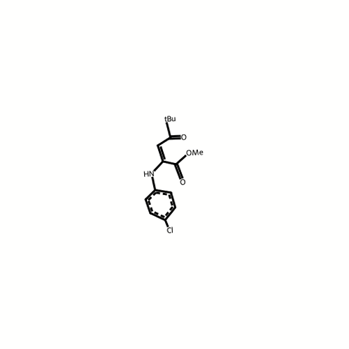 COC(=O)C(=CC(=O)C(C)(C)C)Nc1ccc(Cl)cc1